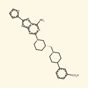 Nc1nc(N2CCC[C@@H](CN3CCC(c4cccc(C(=O)O)c4)CC3)C2)nc2nc(-c3ccco3)nn12